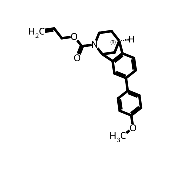 C=CCOC(=O)N1CC[C@@H]2CC1c1cc(-c3ccc(OC)cc3)ccc12